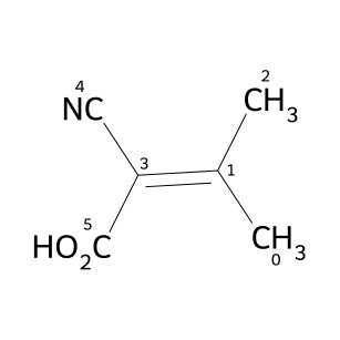 CC(C)=C(C#N)C(=O)O